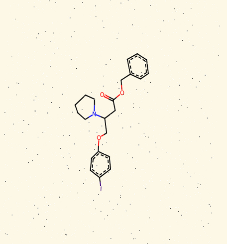 O=C(CC(COc1ccc(I)cc1)N1CCCCC1)OCc1ccccc1